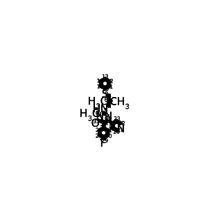 Cn1c(NCC(C)(C)CSc2ccccc2)nc(-c2ccncc2)c(-c2ccc(F)cc2)c1=O